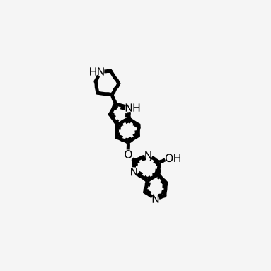 Oc1nc(Oc2ccc3[nH]c(C4CCNCC4)cc3c2)nc2cnccc12